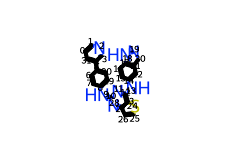 c1cncc(-c2ccc(Nc3nc(Nc4ccc5[nH]ncc5c4)c4sccc4n3)cc2)c1